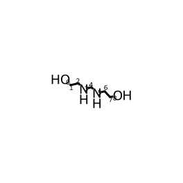 OCCNCNCCO